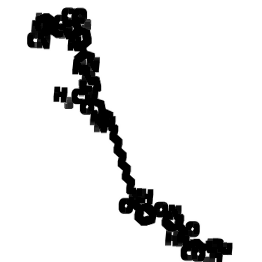 C[C@@H]1CN(c2ncc(-c3ccc4c(n3)N(Cc3cccnc3C#N)C(C)(C)C4=O)cn2)CCN1C(=O)Cc1cn(CCCCCCCCCCNC(=O)c2cccc(Oc3ccc(C(=O)N[C@@H](CCC(C)(C)C)C(=O)O)cn3)c2)nn1